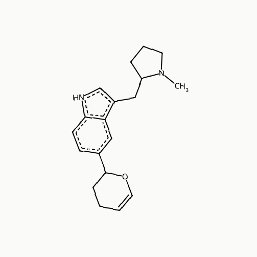 CN1CCCC1Cc1c[nH]c2ccc(C3CCC=CO3)cc12